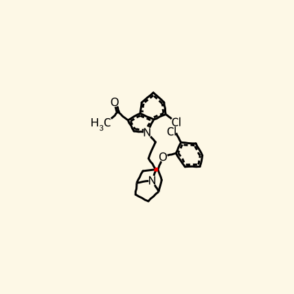 CC(=O)c1cn(CCCN2C3CCC2CC(Oc2ccccc2Cl)C3)c2c(Cl)cccc12